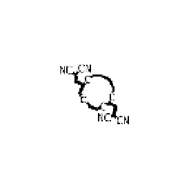 N#CC(C#N)=CC1CCCCCCC(C=C(C#N)C#N)CCCCC1